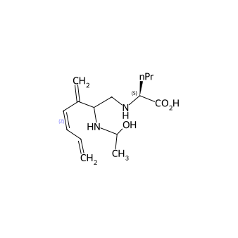 C=C/C=C\C(=C)C(CN[C@@H](CCC)C(=O)O)NC(C)O